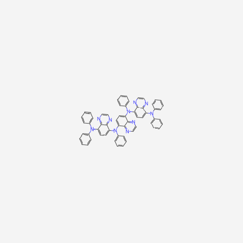 c1ccc(N(c2ccccc2)c2ccc(N(c3ccccc3)c3ccc(N(c4ccccc4)c4ccc(N(c5ccccc5)c5ccccc5)c5nccnc45)c4nccnc34)c3nccnc23)cc1